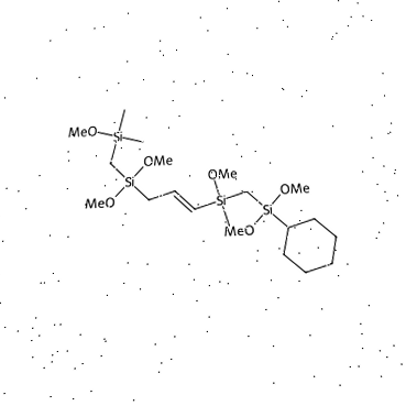 CO[Si](C)(C)C[Si](C/C=C/[Si](C)(C[Si](OC)(OC)C1CCCCC1)OC)(OC)OC